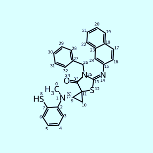 CN(c1ccccc1S)[C@H]1CC12SC(=Nc1ccc3ccccc3c1)N(Cc1ccccc1)C2=O